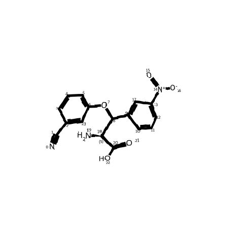 N#Cc1cccc(OC(c2cccc([N+](=O)[O-])c2)[C@H](N)C(=O)O)c1